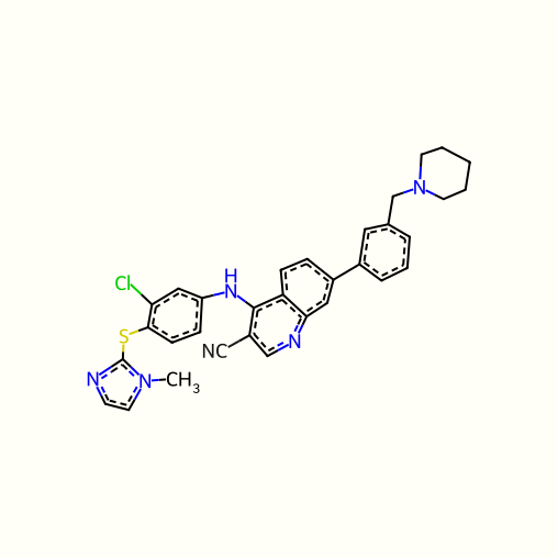 Cn1ccnc1Sc1ccc(Nc2c(C#N)cnc3cc(-c4cccc(CN5CCCCC5)c4)ccc23)cc1Cl